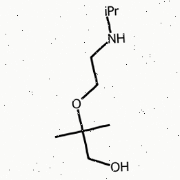 CC(C)NCCOC(C)(C)CO